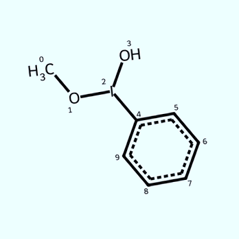 COI(O)c1ccccc1